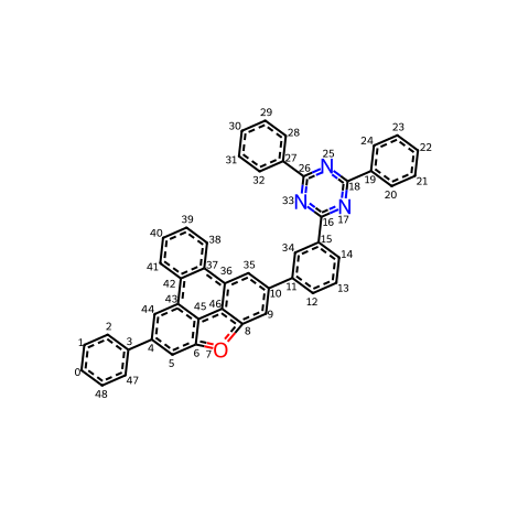 c1ccc(-c2cc3oc4cc(-c5cccc(-c6nc(-c7ccccc7)nc(-c7ccccc7)n6)c5)cc5c6ccccc6c(c2)c3c45)cc1